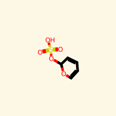 O=S(=O)(O)OC1C=CC=CO1